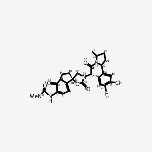 CNC(=O)NC1=CC=C2C(CC[C@]23CN(CC(=O)N2C(C)CCC2c2ccc(F)c(Cl)c2)C(=O)O3)C1=O